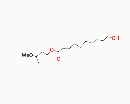 COC(C)CCOC(=O)CCCCCCCCCO